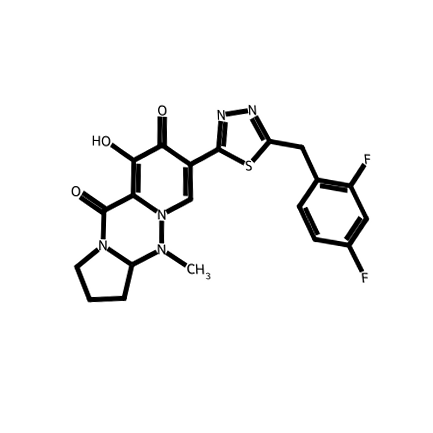 CN1C2CCCN2C(=O)c2c(O)c(=O)c(-c3nnc(Cc4ccc(F)cc4F)s3)cn21